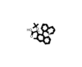 Cc1cc2ccccc2c(-c2cccc3cccnc23)c1[C@H](OC(C)(C)C)C(=O)O